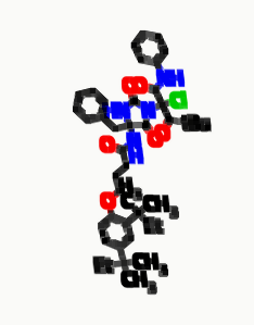 CCC(C)(C)c1ccc(OCCCC(=O)NC2(Cc3ccccc3)NC(=O)N(C(Cl)(C(=O)Nc3ccccc3)C(=O)C(C)(C)C)C2=O)c(C(C)(C)CC)c1